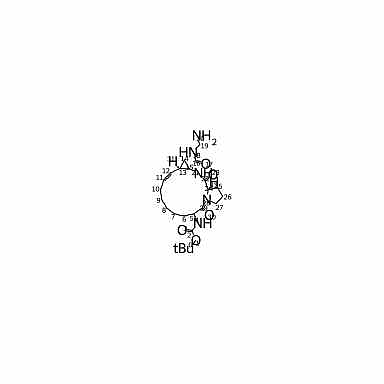 CC(C)(C)OC(=O)N[C@H]1CCCCC/C=C\[C@@H]2C[C@@]2(C(=O)NCN)NC(=O)[C@@H]2CCCN2C1=O